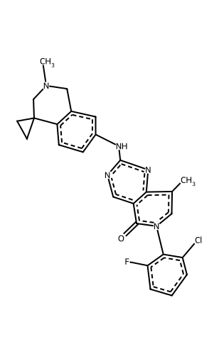 Cc1cn(-c2c(F)cccc2Cl)c(=O)c2cnc(Nc3ccc4c(c3)CN(C)CC43CC3)nc12